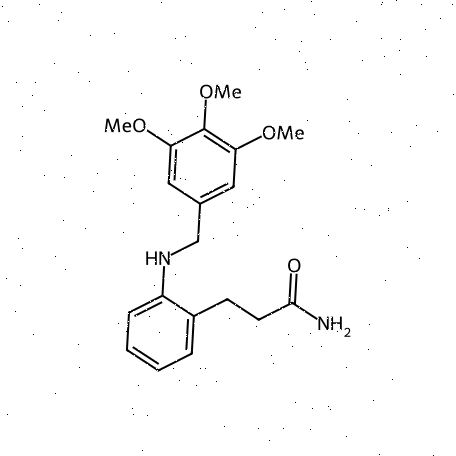 COc1cc(CNc2ccccc2CCC(N)=O)cc(OC)c1OC